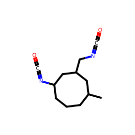 CC1CCCC(N=C=O)CC(CN=C=O)C1